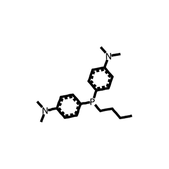 CCCCP(c1ccc(N(C)C)cc1)c1ccc(N(C)C)cc1